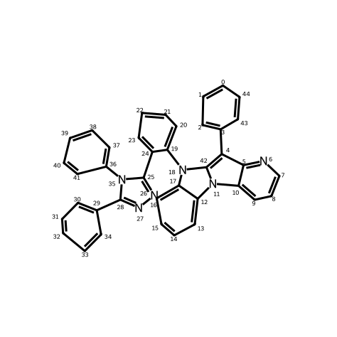 c1ccc(-c2c3ncccc3n3c4ccccc4n(-c4ccccc4-c4nnc(-c5ccccc5)n4-c4ccccc4)c23)cc1